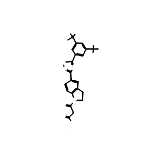 COC(=O)CC(=O)N1CCc2cc(-c3noc(-c4cc(C(F)(F)F)cc(C(F)(F)F)c4)n3)ccc21